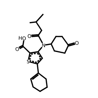 CC(C)CC(=O)N(c1cc(C2=CCCCC2)sc1C(=O)O)C1CCC(=O)CC1